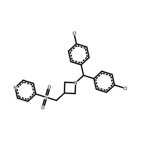 O=S(=O)(CC1CN(C(c2ccc(Cl)cc2)c2ccc(Cl)cc2)C1)c1ccncc1